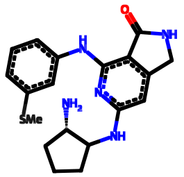 CSc1cccc(Nc2nc(NC3CCC[C@@H]3N)cc3c2C(=O)NC3)c1